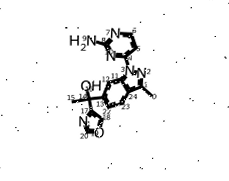 Cc1nn(-c2ccnc(N)n2)c2cc(C(C)(O)c3cocn3)ccc12